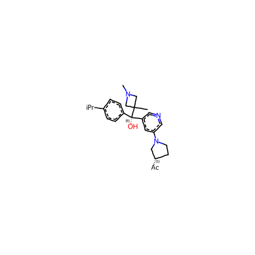 CC(=O)[C@H]1CCN(c2cncc([C@@](O)(c3ccc(C(C)C)cc3)C3(C)CN(C)C3)c2)C1